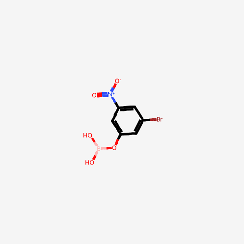 O=[N+]([O-])c1cc(Br)cc(OB(O)O)c1